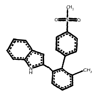 Cc1cccc(-c2cc3ccccc3[nH]2)c1-c1ccc(S(C)(=O)=O)cc1